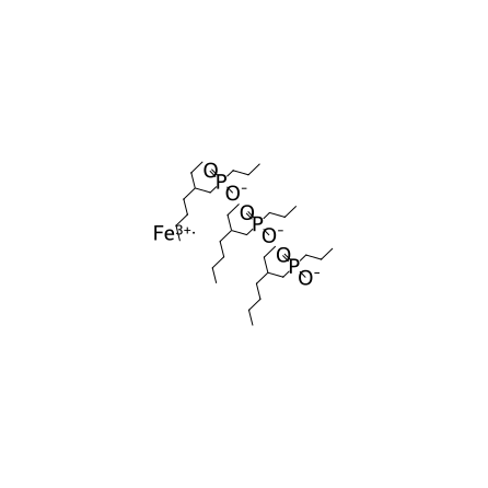 CCCCC(CC)CP(=O)([O-])CCC.CCCCC(CC)CP(=O)([O-])CCC.CCCCC(CC)CP(=O)([O-])CCC.[Fe+3]